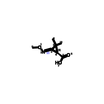 CO/N=C1/[C@H](C(=O)O)C1(C)C